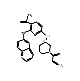 C=CC(=O)N1CCC[C@@H](Nc2cnc(C(N)=O)c(Nc3ccc4ncccc4c3)n2)C1